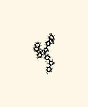 c1ccc(-c2cccc(-c3ccc(N(c4ccc(-c5ccc6c(c5)oc5ccccc56)cc4)c4cccc5c4oc4c6ccccc6ccc54)cc3)c2)cc1